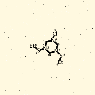 CCSN1CN(Cl)CN(SCC)C1